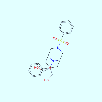 O=S(=O)(c1ccccc1)N1CC2CC(CO)(CO)CC(C1)N2Cc1ccccc1